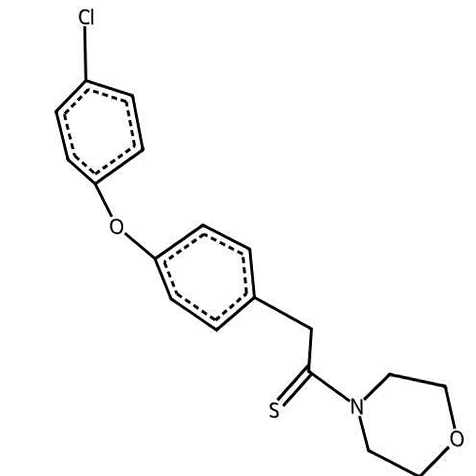 S=C(Cc1ccc(Oc2ccc(Cl)cc2)cc1)N1CCOCC1